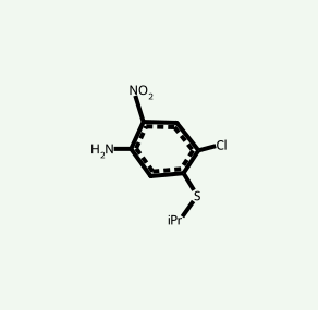 CC(C)Sc1cc(N)c([N+](=O)[O-])cc1Cl